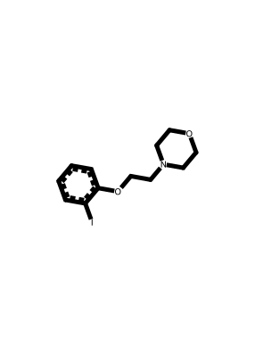 Ic1ccccc1OCCN1CCOCC1